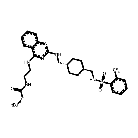 CC(C)(C)OC(=O)NCCNc1nc(NC[C@H]2CC[C@H](CNS(=O)(=O)c3ccccc3C(F)(F)F)CC2)nc2ccccc12